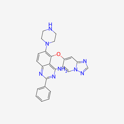 Nc1nc(-c2ccccc2)nc2ccc(N3CCNCC3)c(Oc3ccn4ncnc4c3)c12